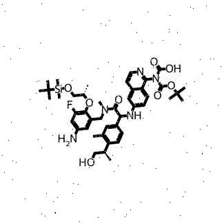 Cc1cc(C(Nc2ccc3c(N(C(=O)O)C(=O)OC(C)(C)C)nccc3c2)C(=O)N(C)Cc2cc(N)cc(F)c2O[C@@H](C)CO[Si](C)(C)C(C)(C)C)ccc1[C@@H](C)CO